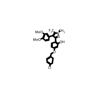 COc1ccc(-c2c(-c3ccc(OCC4=CC=C(Cl)CC4)cc3O)nn(C)c2C(F)(F)F)cc1OC